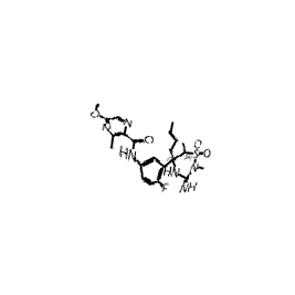 CCCC[C@]1(c2cc(NC(=O)c3ncc(OC)nc3C)ccc2F)NC(=N)N(C)S(=O)(=O)[C@@H]1C